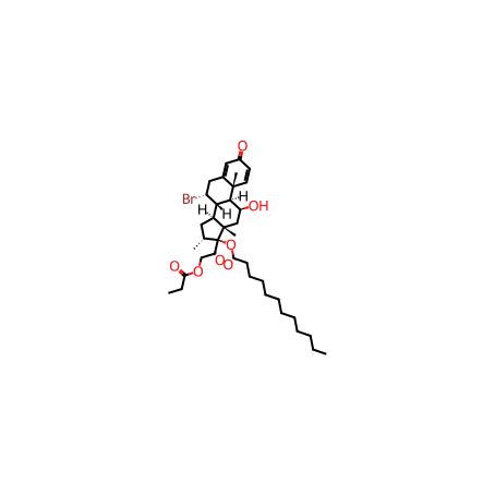 CCCCCCCCCCCC(=O)O[C@@]1(C(=O)COC(=O)CC)[C@H](C)C[C@H]2[C@H]3[C@H]([C@@H](O)C[C@@]21C)[C@@]1(C)C=CC(=O)C=C1C[C@H]3Br